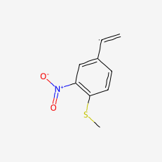 C=[C]c1ccc(SC)c([N+](=O)[O-])c1